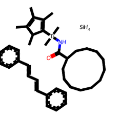 C(C=Cc1ccccc1)=Cc1ccccc1.CC1=C(C)C(C)[C]([Ti]([CH3])([CH3])[NH]C(=O)C2CCCCCCCCCCC2)=C1C.[SiH4]